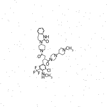 CNc1c(Cl)cc(CC(CC(=O)N2CCC(N3CCc4ccccc4NC3=O)CC2)C(=O)N2CCN(C3CCN(C)CC3)CC2)cc1C(F)(F)F